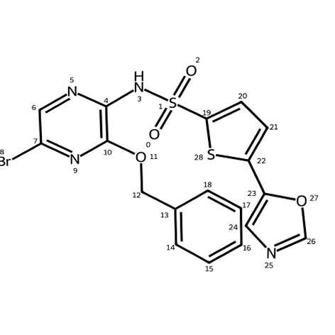 O=S(=O)(Nc1ncc(Br)nc1OCc1ccccc1)c1ccc(-c2cnco2)s1